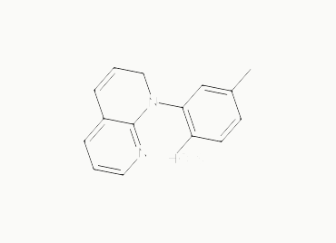 Cc1ccc(S(=O)(=O)O)c(N2CC=Cc3cccnc32)c1